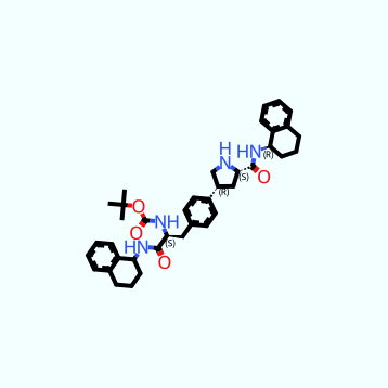 CC(C)(C)OC(=O)N[C@@H](Cc1ccc([C@@H]2CN[C@H](C(=O)N[C@@H]3CCCc4ccccc43)C2)cc1)C(=O)NC1CCCc2ccccc21